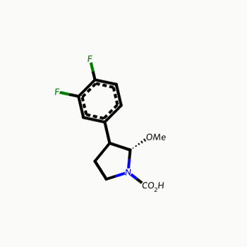 CO[C@H]1C(c2ccc(F)c(F)c2)CCN1C(=O)O